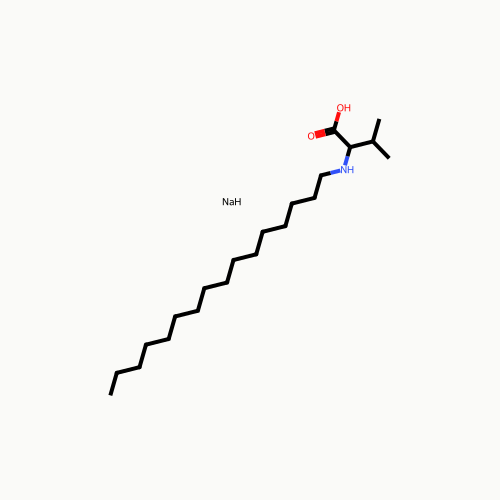 CCCCCCCCCCCCCCCCNC(C(=O)O)C(C)C.[NaH]